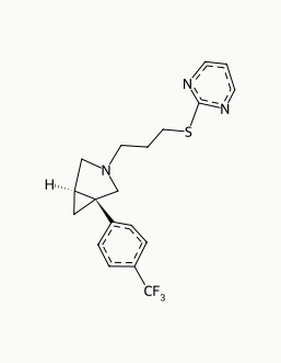 FC(F)(F)c1ccc([C@@]23C[C@H]2CN(CCCSc2ncccn2)C3)cc1